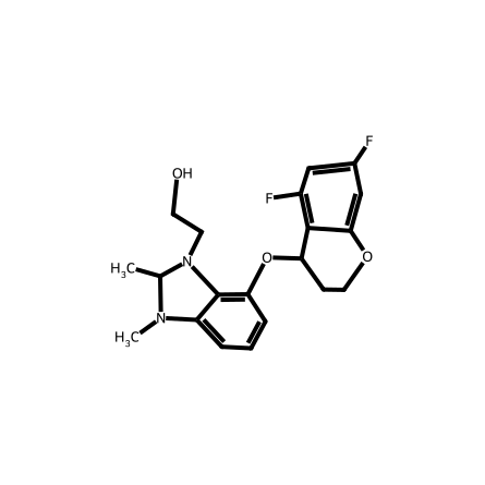 CC1N(C)c2cccc(OC3CCOc4cc(F)cc(F)c43)c2N1CCO